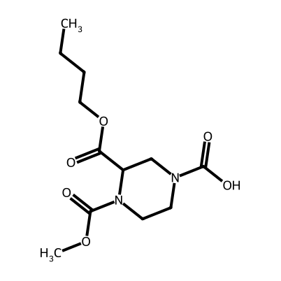 CCCCOC(=O)C1CN(C(=O)O)CCN1C(=O)OC